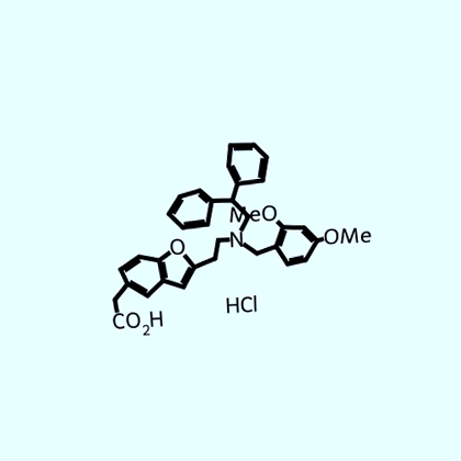 COc1ccc(CN(CCc2cc3cc(CC(=O)O)ccc3o2)CC(c2ccccc2)c2ccccc2)c(OC)c1.Cl